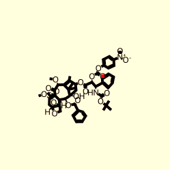 CO[C@H]1C(=O)[C@]2(C)[C@@H](OC)C[C@H]3OC[C@@]3(OC(C)=O)[C@H]2[C@H](OC(=O)c2ccccc2)[C@]2(O)CC(OC(=O)[C@H](OC(=O)Oc3ccc([N+](=O)[O-])cc3)[C@@H](NC(=O)OC(C)(C)C)c3ccccc3)C(C)=C1C2(C)C